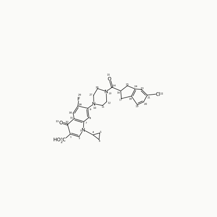 O=C(O)c1cn(C2CC2)c2cc(N3CCN(C(=O)C4Cc5ccc(Cl)cc5C4)CC3)c(F)cc2c1=O